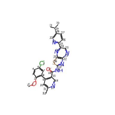 COc1ccc(Cl)cc1-c1cc(C)ncc1C(=O)Nc1nc2ncc(-c3ccc(C(C)C)cn3)nc2s1